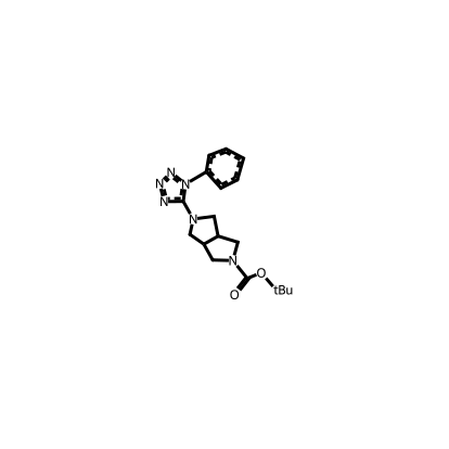 CC(C)(C)OC(=O)N1CC2CN(c3nnnn3-c3ccccc3)CC2C1